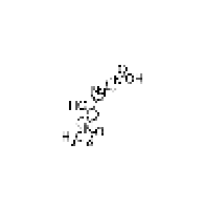 CC1CCc2c(ccc(-c3cnn(C4CCN(C(=O)O)CC4)c3)c2O)N1C(=O)C1CC1